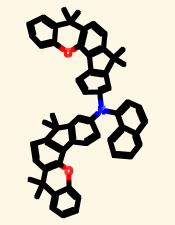 CC1(C)c2ccccc2Oc2c1ccc1c2-c2ccc(N(c3ccc4c(c3)C(C)(C)c3ccc5c(c3-4)Oc3ccccc3C5(C)C)c3cccc4ccccc34)cc2C1(C)C